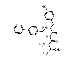 CC(C)[C@H](N)C(=O)NC(=O)[C@H](Cc1ccc(O)cc1)NCc1ccc(-c2ccccc2)cc1